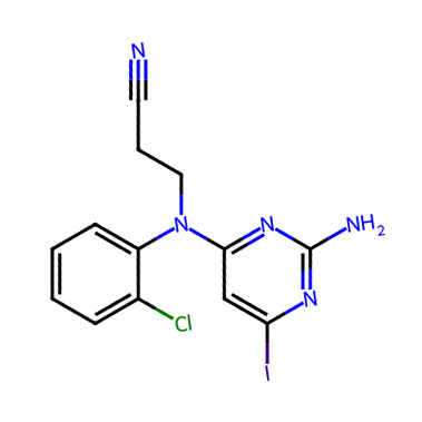 N#CCCN(c1cc(I)nc(N)n1)c1ccccc1Cl